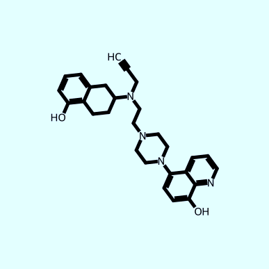 C#CCN(CCN1CCN(c2ccc(O)c3ncccc23)CC1)C1CCc2c(O)cccc2C1